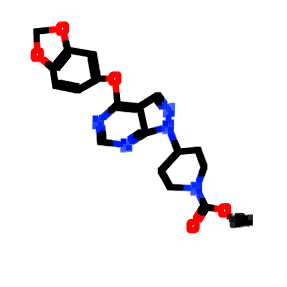 CC(C)(C)OC(=O)N1CCC(n2ncc3c(Oc4ccc5c(c4)OCO5)ncnc32)CC1